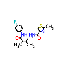 C=C(CCNC(=O)c1csc(C)n1)C(C)C(=O)Nc1ccc(F)cc1